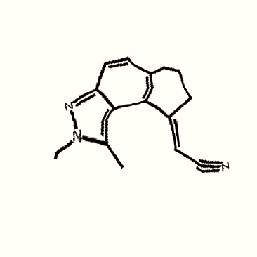 Cc1c2c3c(ccc2nn1C)CC/C3=C\C#N